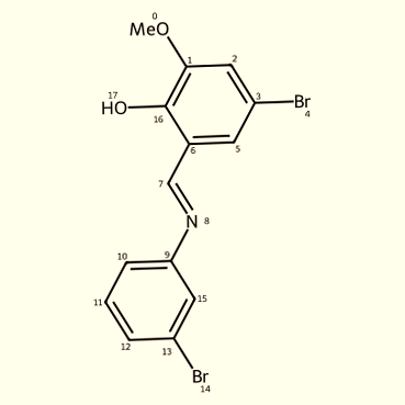 COc1cc(Br)cc(/C=N/c2cccc(Br)c2)c1O